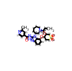 C=CC(=O)N1CCCC[C@@H](n2c(NC(=O)c3ccnc(C)c3)nc3cccc(O[C@@H]4CCS(=O)(=O)CC4C)c32)C1